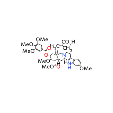 C=C(C)C(=O)O.COC(=O)[C@H]1[C@H]2C[C@@H]3c4[nH]c5cc(OC)ccc5c4CCN3C[C@H]2C[C@@H](OC(=O)c2cc(OC)c(OC)c(OC)c2)[C@@H]1OC